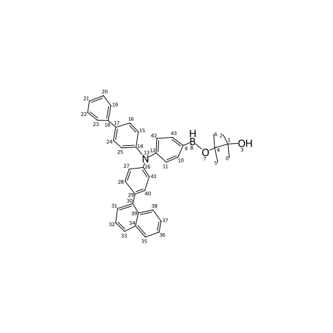 CC(C)(O)C(C)(C)OBc1ccc(N(c2ccc(-c3ccccc3)cc2)c2ccc(-c3cccc4ccccc34)cc2)cc1